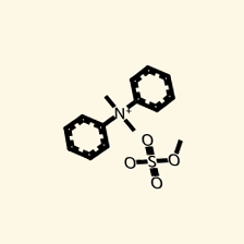 COS(=O)(=O)[O-].C[N+](C)(c1ccccc1)c1ccccc1